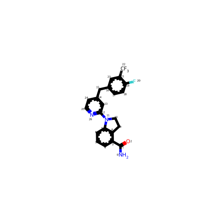 NC(=O)c1cccc2c1CCN2c1cc(Cc2ccc(F)c(C(F)(F)F)c2)ccn1